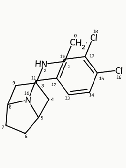 [CH2]CNC1CC2CCC(C1)N2Cc1ccc(Cl)c(Cl)c1